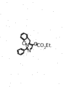 CCOC(=O)Oc1cnc(-c2ccccc2)nc1Cc1ccccc1Cl